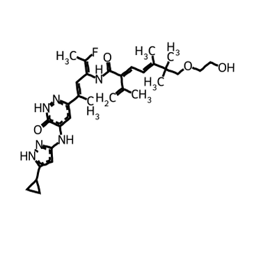 C=C(C)/C(=C\C=C(/C)C(C)(C)COCCO)C(=O)NC(/C=C(\C)c1cc(Nc2cc(C3CC3)[nH]n2)c(=O)[nH]n1)=C(/C)F